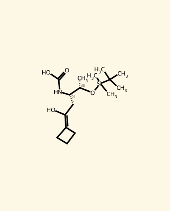 C[C@H](O[Si](C)(C)C(C)(C)C)[C@H](CC(O)=C1CCC1)NC(=O)O